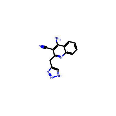 N#Cc1c(Cc2c[nH]nn2)nc2ccccc2c1N